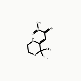 CC1(C)OCCN/C1=C\C(=N)S(=O)O